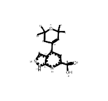 CC1(C)C=C(c2cc(C(=O)O)nc3[nH]ncc23)CC(C)(C)O1